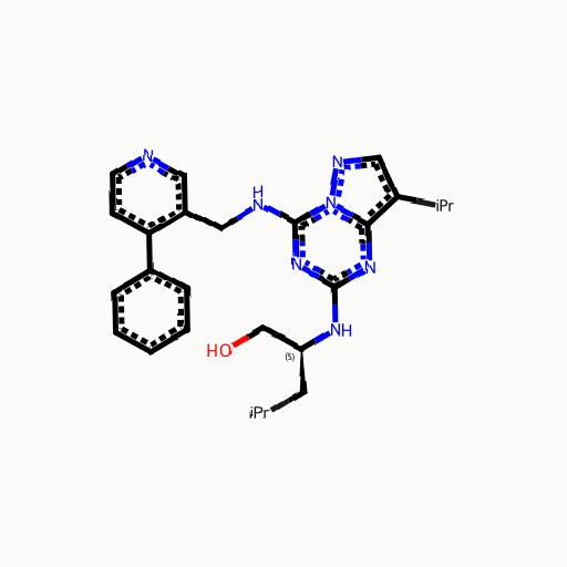 CC(C)C[C@@H](CO)Nc1nc(NCc2cnccc2-c2ccccc2)n2ncc(C(C)C)c2n1